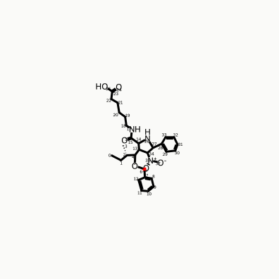 CC[C@H](C)C(OCc1ccccc1)C1C(C(=O)NCCCCCC(=O)O)NC(c2ccccc2)C1[N+](=O)[O-]